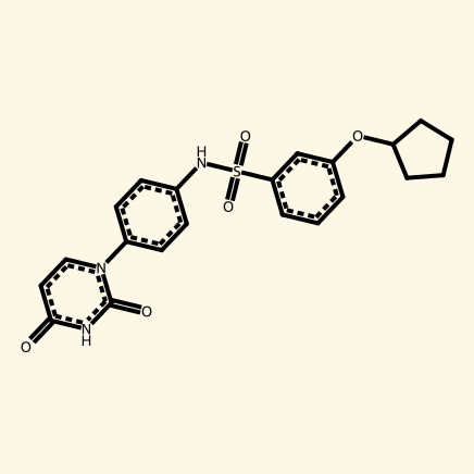 O=c1ccn(-c2ccc(NS(=O)(=O)c3cccc(OC4CCCC4)c3)cc2)c(=O)[nH]1